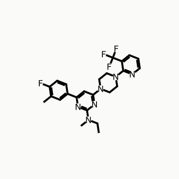 CCN(C)c1nc(-c2ccc(F)c(C)c2)cc(N2CCN(c3ncccc3C(F)(F)F)CC2)n1